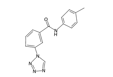 Cc1ccc(NC(=O)c2cccc(-n3cnnn3)c2)cc1